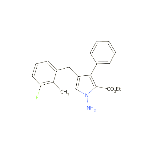 CCOC(=O)c1c(-c2ccccc2)c(Cc2cccc(F)c2C)cn1N